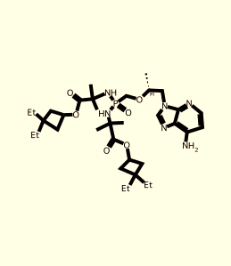 CCC1(CC)CC(OC(=O)C(C)(C)NP(=O)(CO[C@H](C)Cn2cnc3c(N)ccnc32)NC(C)(C)C(=O)OC2CC(CC)(CC)C2)C1